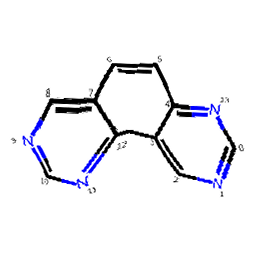 [c]1ncc2c(ccc3cncnc32)n1